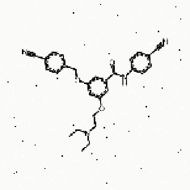 CCN(CC)CCOc1cc(OCc2ccc(C#N)cc2)cc(C(=O)Nc2ccc(C#N)cc2)c1